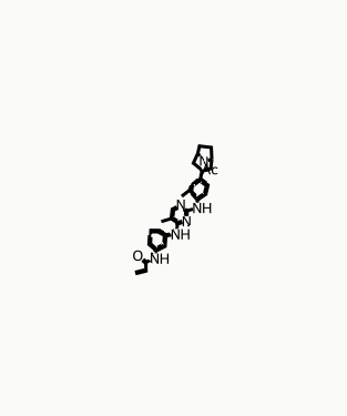 C=CC(=O)Nc1cccc(Nc2nc(Nc3ccc(C4CC5CCC(C4)N5C(C)=O)cc3C)ncc2C)c1